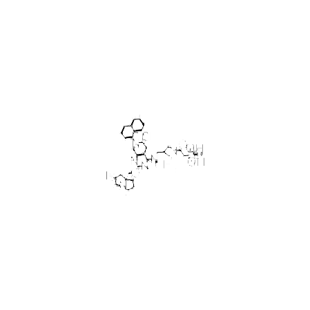 CN(CC1CN(C(=O)CP(=O)(O)O)C1)c1nc(OC[C@@]23CCCN2C[C@H](F)C3)nc2c1CCN(c1cccc3cccc(Cl)c13)C2